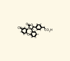 O=C(O)Cc1ccc(C2OC(=O)N3c4cc(Cl)ccc4Oc4ccccc4C23)cc1